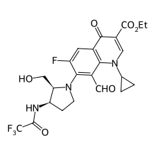 CCOC(=O)c1cn(C2CC2)c2c(C=O)c(N3CC[C@@H](NC(=O)C(F)(F)F)[C@H]3CO)c(F)cc2c1=O